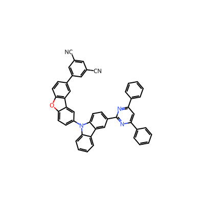 N#Cc1cc(C#N)cc(-c2ccc3oc4ccc(-n5c6ccccc6c6cc(-c7nc(-c8ccccc8)cc(-c8ccccc8)n7)ccc65)cc4c3c2)c1